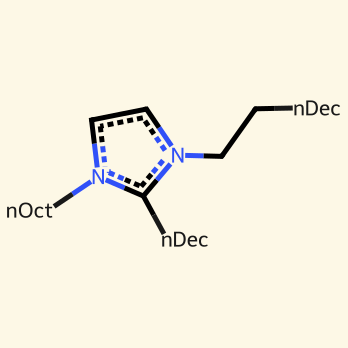 CCCCCCCCCCCCn1cc[n+](CCCCCCCC)c1CCCCCCCCCC